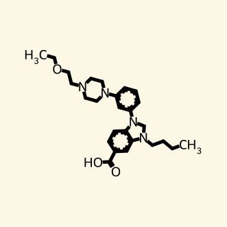 CCCCN1CN(c2cccc(N3CCN(CCOCC)CC3)c2)c2ccc(C(=O)O)cc21